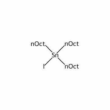 CCCCCCC[CH2][Sn]([I])([CH2]CCCCCCC)[CH2]CCCCCCC